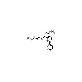 NC(=O)c1cnc(N2CCCCC2)nc1CCCCCCS